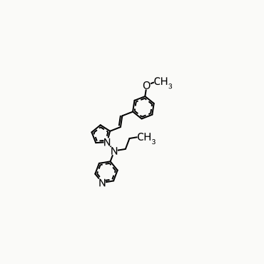 CCCN(c1ccncc1)n1cccc1C=Cc1cccc(OC)c1